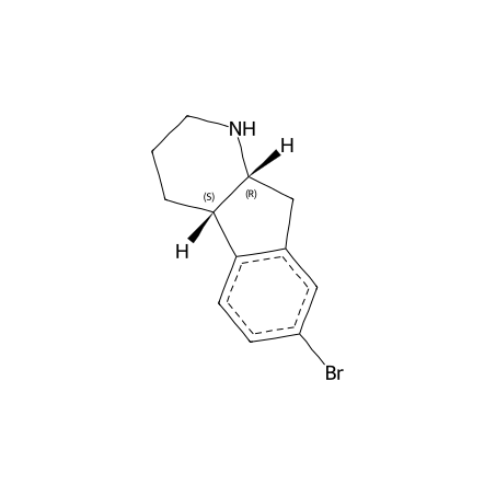 Brc1ccc2c(c1)C[C@H]1NCCC[C@@H]21